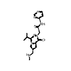 CNCc1cc2c(=O)n(CC(=O)Nc3ccncn3)nc(C(C)C)n2c1